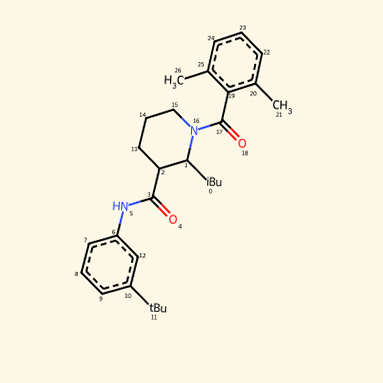 CCC(C)C1C(C(=O)Nc2cccc(C(C)(C)C)c2)CCCN1C(=O)c1c(C)cccc1C